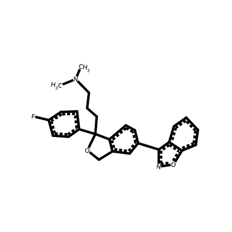 CN(C)CCCC1(c2ccc(F)cc2)OCc2cc(-c3noc4ccccc34)ccc21